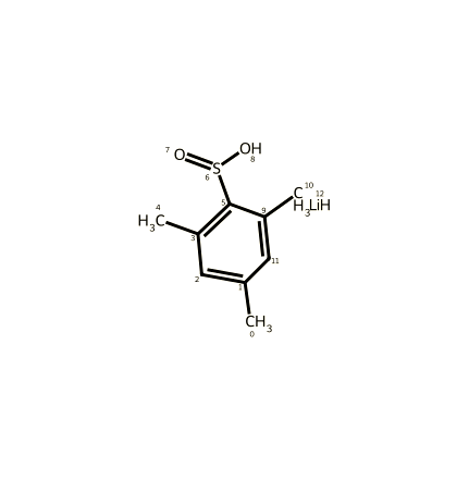 Cc1cc(C)c(S(=O)O)c(C)c1.[LiH]